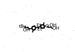 CCC(CC)(c1ccc(/C=C/C(O)C(C)(C)C)c(C)c1)c1ccc(OC[C@H](O)CO)c(C)c1